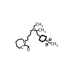 CCN(CCCCN1CCCCCCC1C=O)C(C)Cc1ccc(S(C)(=O)=O)cc1